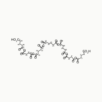 O=C(O)CCCC(=O)OC(=O)CCC(=O)OC(=O)CCCC(=O)OC(=O)CCCCC(=O)OC(=O)CCCC(=O)OC(=O)CCC(=O)OC(=O)CCCC(=O)O